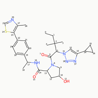 CCC(C)(C)C(C(=O)N1CC(O)CC1C(=O)NC(C)c1ccc(-c2scnc2C)cc1)n1cc(C2CC2)nn1